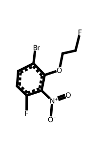 O=[N+]([O-])c1c(F)ccc(Br)c1OCCF